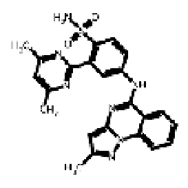 Cc1cc(C)nc(-c2cc(Nc3nc4cc(C)nn4c4ccccc34)ccc2S(N)(=O)=O)n1